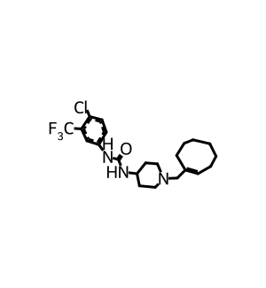 O=C(Nc1ccc(Cl)c(C(F)(F)F)c1)NC1CCN(CC2=CCCCCCC2)CC1